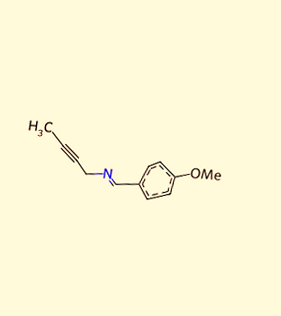 CC#CCN=Cc1ccc(OC)cc1